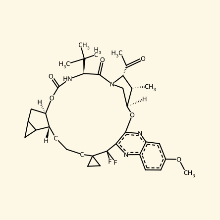 COc1ccc2nc3c(nc2c1)O[C@H]1CN(C(=O)[C@H](C(C)(C)C)NC(=O)O[C@@H]2CC4CC4[C@H]2CCCC2(CC2)C3(F)F)[C@H](C(C)=O)[C@@H]1C